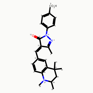 CC1=NN(c2ccc(C(=O)O)cc2)C(=O)C1=Cc1ccc2c(c1)C(C)(C)CC(C)N2C